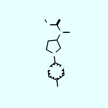 CN(C(=O)OC(C)(C)C)C1CCN(c2ncc(C(=O)O)cn2)C1